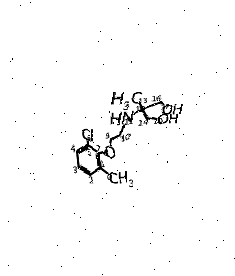 Cc1cccc(Cl)c1OCCNC(C)(CO)CO